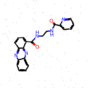 O=C(NCCNC(=O)c1cccc2nc3ccccc3nc12)c1ccccn1